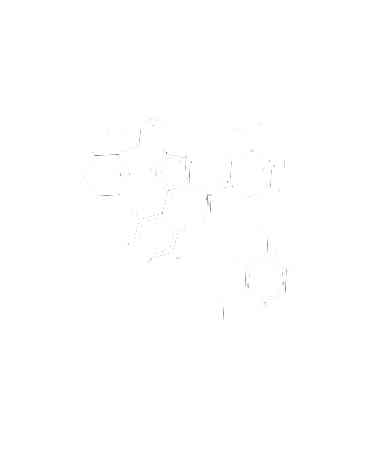 COC[C@]1(O)CCCC[C@H]1n1cnc(C(=O)N2CCNC[C@@H]2CCc2cccc(OC(F)(F)F)c2)c1-c1ccccc1.Cl